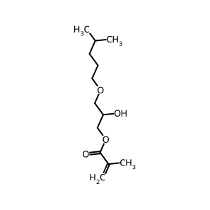 C=C(C)C(=O)OCC(O)COCCCC(C)C